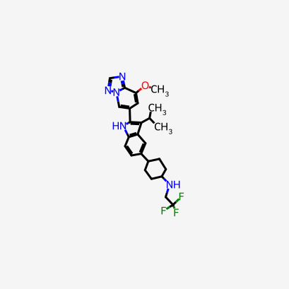 COc1cc(-c2[nH]c3ccc(C4CCC(NCC(F)(F)F)CC4)cc3c2C(C)C)cn2ncnc12